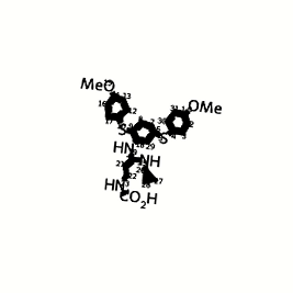 COc1ccc(Sc2ccc(Sc3ccc(OC)cc3)c(NC(=CCNC(=O)O)NC3CC3)c2)cc1